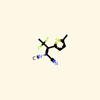 [C-]#[N+]/C(C#N)=C(/c1ccc(C)s1)C(C)(F)F